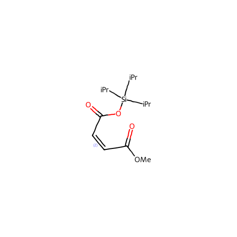 COC(=O)/C=C\C(=O)O[Si](C(C)C)(C(C)C)C(C)C